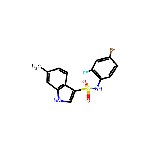 Cc1ccc2c(S(=O)(=O)Nc3ccc(Br)cc3F)c[nH]c2c1